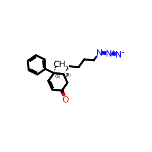 C[C@@]1(c2ccccc2)C=CC(=O)C[C@H]1CCCCN=[N+]=[N-]